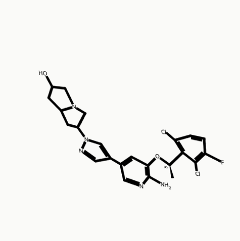 C[C@@H](Oc1cc(-c2cnn(C3CC4CC(O)CN4C3)c2)cnc1N)c1c(Cl)ccc(F)c1Cl